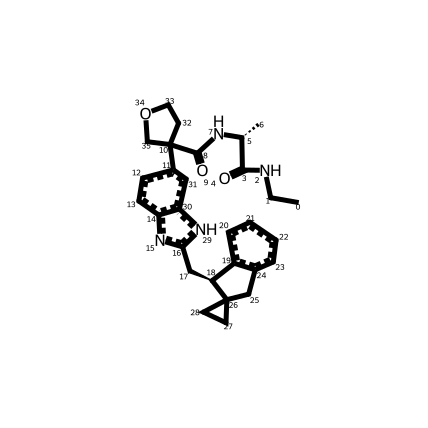 CCNC(=O)[C@@H](C)NC(=O)C1(c2ccc3nc(C[C@H]4c5ccccc5CC45CC5)[nH]c3c2)CCOC1